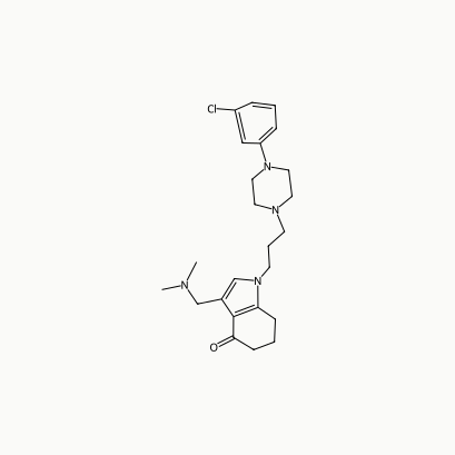 CN(C)Cc1cn(CCCN2CCN(c3cccc(Cl)c3)CC2)c2c1C(=O)CCC2